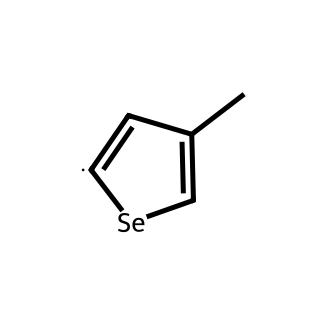 Cc1c[c][se]c1